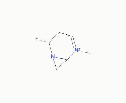 C[C@@H]1CC=[N+](C)C2CN21